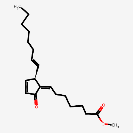 CCCCCC/C=C/[C@@H]1C=CC(=O)/C1=C\CCCCCC(=O)OC